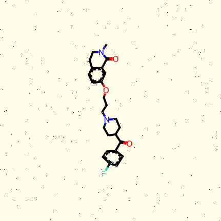 CN1CCc2ccc(OCCCN3CCC(C(=O)c4ccc(F)cc4)CC3)cc2C1=O